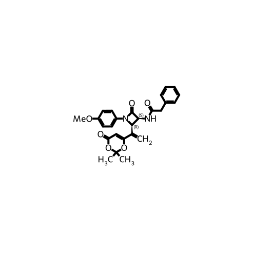 C=C(C1=CC(=O)OC(C)(C)O1)[C@@H]1[C@H](NC(=O)Cc2ccccc2)C(=O)N1c1ccc(OC)cc1